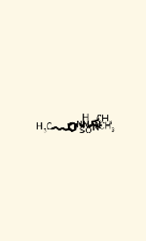 CCCCCCc1ccc(NC(=S)NC(=O)c2cc(C)n(C)n2)cc1